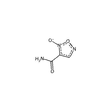 NC(=O)c1cno[n+]1[O-]